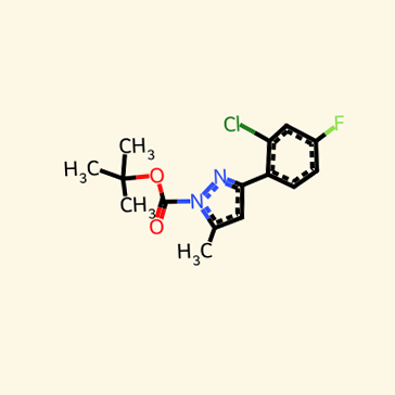 Cc1cc(-c2ccc(F)cc2Cl)nn1C(=O)OC(C)(C)C